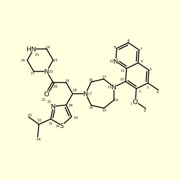 COc1c(C)cc2cccnc2c1N1CCCN(C(CC(=O)N2CCNCC2)c2csc(C(C)C)n2)CC1